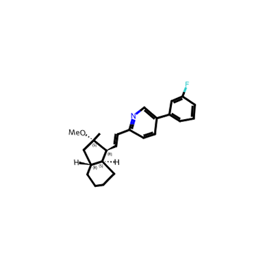 CO[C@@]1(C)C[C@H]2CCCC[C@@H]2[C@@H]1C=Cc1ccc(-c2cccc(F)c2)cn1